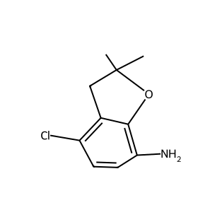 CC1(C)Cc2c(Cl)ccc(N)c2O1